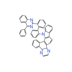 c1ccc(-c2nc(-c3ccccc3-c3ccccc3-n3c4ccccc4c4ccc5c6nccnc6c6ccccc6c5c43)nc3ccccc23)cc1